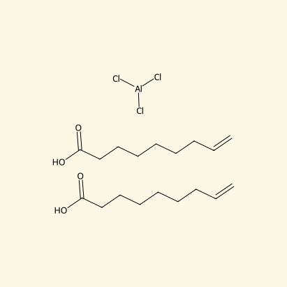 C=CCCCCCCC(=O)O.C=CCCCCCCC(=O)O.[Cl][Al]([Cl])[Cl]